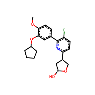 COc1ccc(-c2nc(C3COB(O)C3)ccc2F)cc1OC1CCCC1